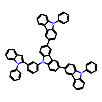 c1ccc(-n2c(-c3cccc(-n4c5ccc(-c6ccc7c(c6)c6ccccc6n7-c6ccccc6)cc5c5cc(-c6ccc7c(c6)c6ccccc6n7-c6ccccc6)ccc54)c3)cc3ccccc32)cc1